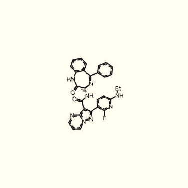 CCNc1ccc(-c2nn3cccnc3c2C(=O)N[C@H]2N=C(c3ccccc3)c3ccccc3NC2=O)c(F)n1